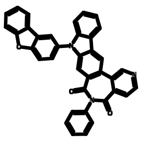 O=c1c2ccncc2c2cc3c4ccccc4n(-c4ccc5oc6ccccc6c5c4)c3cc2c(=O)n1-c1ccccc1